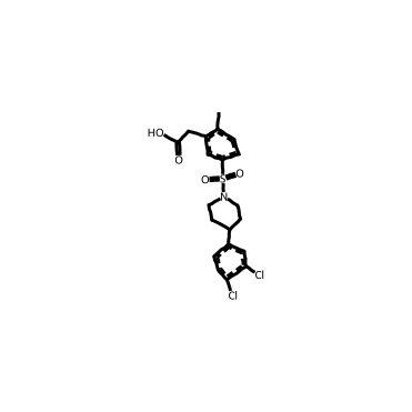 Cc1ccc(S(=O)(=O)N2CCC(c3ccc(Cl)c(Cl)c3)CC2)cc1CC(=O)O